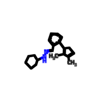 CC1=CCC(c2ccccc2C=NNC2CCCCC2)=C1C